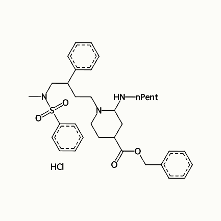 CCCCCNC1CC(C(=O)OCc2ccccc2)CCN1CCC(CN(C)S(=O)(=O)c1ccccc1)c1ccccc1.Cl